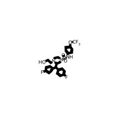 O=S(=O)(Nc1ccc(OC(F)(F)F)cc1)N1CCN(CCO)C(C(c2ccc(F)cc2)c2ccc(F)cc2)C1